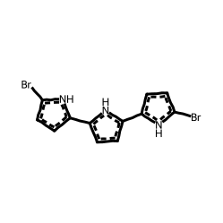 Brc1ccc(-c2ccc(-c3ccc(Br)[nH]3)[nH]2)[nH]1